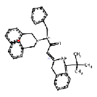 CC(C)(C)C(=O)N/C(=C\C(=O)[C@H](Cc1ccccc1)N(Cc1ccccc1)Cc1ccccc1)Cc1ccccc1